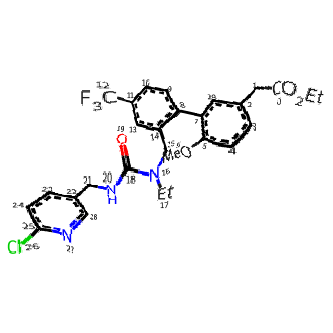 CCOC(=O)Cc1ccc(OC)c(-c2ccc(C(F)(F)F)cc2CN(CC)C(=O)NCc2ccc(Cl)nc2)c1